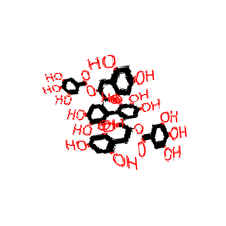 O=C(O[C@@H]1Cc2c(O)cc(O)cc2O[C@@H]1c1cc(O)c(O)c(O)c1-c1c([C@H]2Oc3cc(O)cc(O)c3C[C@H]2OC(=O)c2cc(O)c(O)c(O)c2)cc(O)c(O)c1O)c1cc(O)c(O)c(O)c1